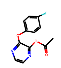 CC(=O)Oc1nccnc1Oc1ccc(F)cc1